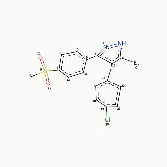 CCc1[nH]nc(-c2ccc(S(C)(=O)=O)cc2)c1-c1ccc(Cl)cc1